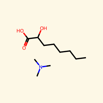 CCCCCCC(O)C(=O)O.CN(C)C